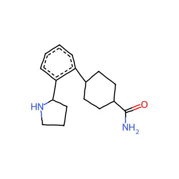 NC(=O)C1CCC(c2ccccc2C2CCCN2)CC1